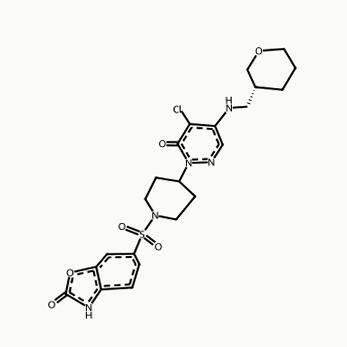 O=c1[nH]c2ccc(S(=O)(=O)N3CCC(n4ncc(NC[C@H]5CCCOC5)c(Cl)c4=O)CC3)cc2o1